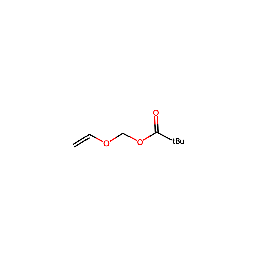 C=COCOC(=O)C(C)(C)C